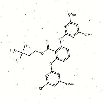 COc1cc(Cl)nc(Oc2cccc(Oc3nc(OC)cc(OC)n3)c2C(=O)OCC[Si](C)(C)C)n1